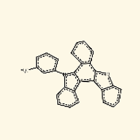 Cc1cccc(-n2c3ccccc3c3c4c5ccccc5oc4c4ccccc4c32)c1